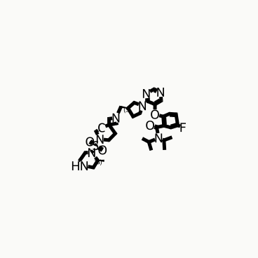 CC(C)N(C(=O)c1cc(F)ccc1Oc1cncnc1N1CC[C@@H](CN2CC3(CCN(S(=O)(=O)N4CCNC[C@@H]4C)CC3)C2)C1)C(C)C